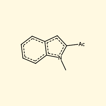 CC(=O)c1cc2ccccc2n1C